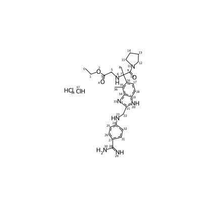 CCOC(=O)CNC(C)(C(=O)N1CCCC1)c1ccc2[nH]c(CNc3ccc(C(=N)N)cc3)nc2c1C.Cl.Cl